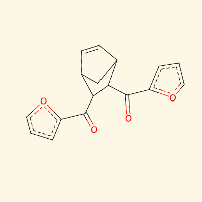 O=C(c1ccco1)C1C2C=CC(C2)C1C(=O)c1ccco1